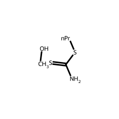 CCCSC(N)=S.CO